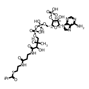 CC(C)C(=O)SCCNC(=O)CCNC(=O)C(O)C(C)(C)COP(=O)(O)OP(=O)(O)OC[C@H]1O[C@@H](n2cnc3c(N)ncnc32)[C@H](O)[C@@H]1OP(=O)(O)O